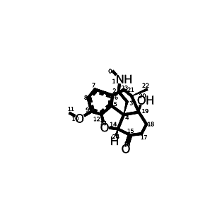 CNCC[C@]12c3c4ccc(OC)c3O[C@H]1C(=O)CC[C@@]2(O)[C@H](C)C4